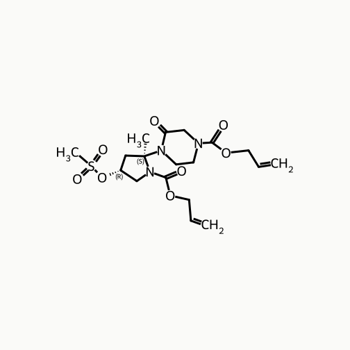 C=CCOC(=O)N1CCN([C@]2(C)C[C@@H](OS(C)(=O)=O)CN2C(=O)OCC=C)C(=O)C1